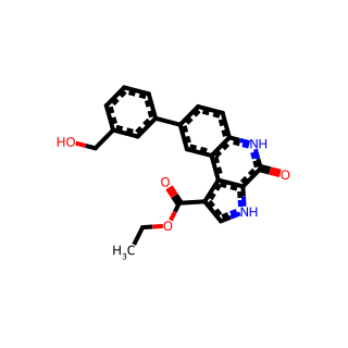 CCOC(=O)c1c[nH]c2c(=O)[nH]c3ccc(-c4cccc(CO)c4)cc3c12